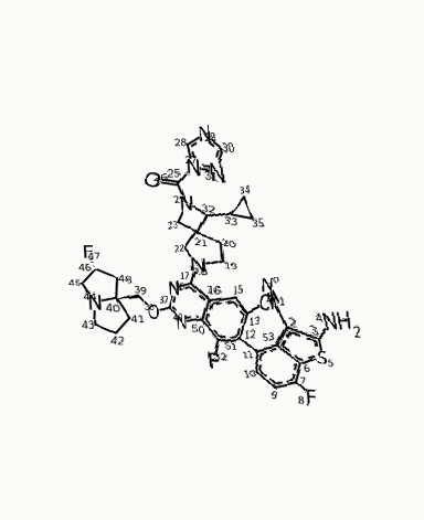 N#Cc1c(N)sc2c(F)ccc(-c3c(Cl)cc4c(N5CCC6(C5)CN(C(=O)n5cncn5)C6C5CC5)nc(OC[C@@]56CCCN5C[C@H](F)C6)nc4c3F)c12